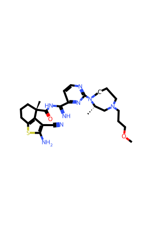 COCCCN1CCCN(c2nccc(C(=N)NC(=O)[C@@]3(C)CCCc4sc(N)c(C#N)c43)n2)[C@@H](C)C1